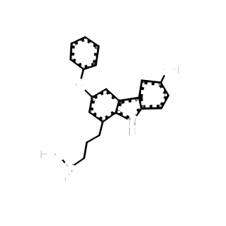 Cc1ccc2[nH]c3c(CCCN(C)C)cc(Oc4ccccc4)cc3c2c1